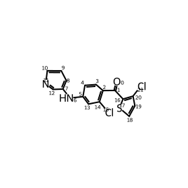 O=C(c1ccc(Nc2cccnc2)cc1Cl)c1sccc1Cl